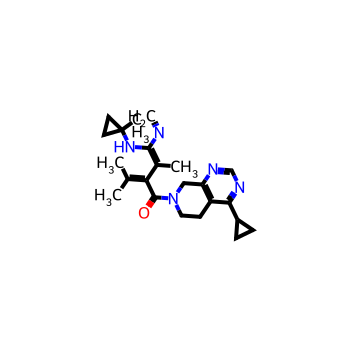 C=N/C(NC1(C)CC1)=C(\C)C(C(=O)N1CCc2c(ncnc2C2CC2)C1)=C(C)C